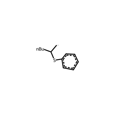 [CH2]C(CCCC)Sc1ccccc1